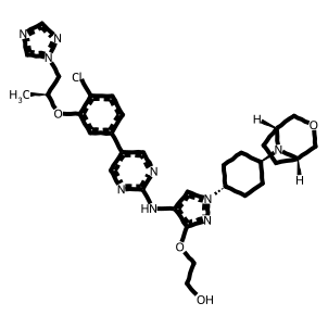 C[C@@H](Cn1cncn1)Oc1cc(-c2cnc(Nc3cn([C@H]4CC[C@H](N5[C@@H]6CC[C@H]5COC6)CC4)nc3OCCO)nc2)ccc1Cl